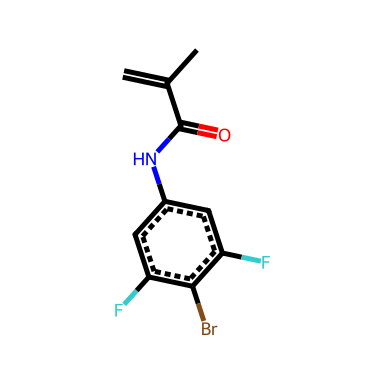 C=C(C)C(=O)Nc1cc(F)c(Br)c(F)c1